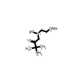 COCCN(CC(=O)C(C)(C)N)C(C)C